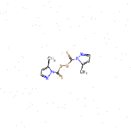 Cc1ccnn1C(=S)SSC(=S)n1nccc1C